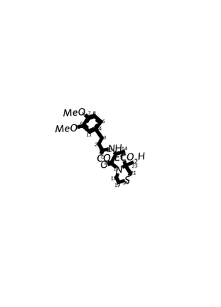 CCOC(=O)C(CCc1ccc(OC)c(OC)c1)NC(C)C(=O)N1CCSCC1(C)C(=O)O